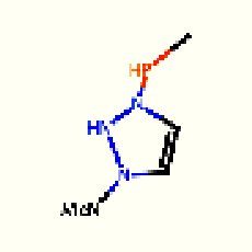 CNN1C=CN(PC)N1